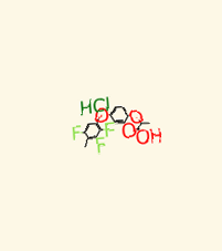 Cc1c(F)cc(Oc2ccc(OC(C)C(=O)O)cc2)c(F)c1F.Cl